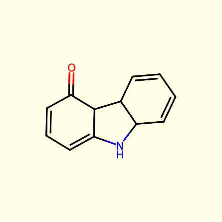 O=C1C=CC=C2NC3C=CC=CC3C12